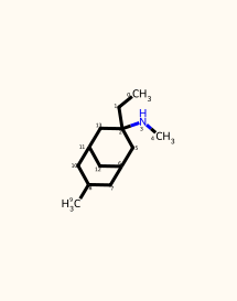 CCC1(NC)CC2CC(C)CC(C2)C1